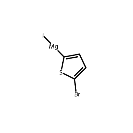 Brc1cc[c]([Mg][I])s1